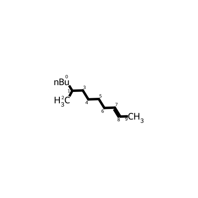 [CH2]CCCC(C)CCCCC=CC